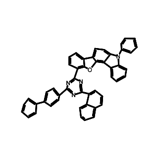 c1ccc(-c2ccc(-c3nc(-c4cccc5ccccc45)nc(-c4cccc5c4oc4c5ccc5c4c4ccccc4n5-c4ccccc4)n3)cc2)cc1